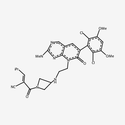 CNc1ncc2cc(-c3c(Cl)c(OC)cc(OC)c3Cl)c(=O)n(CCNC3CN(C(=O)C(C#N)=CC(C)C)C3)c2n1